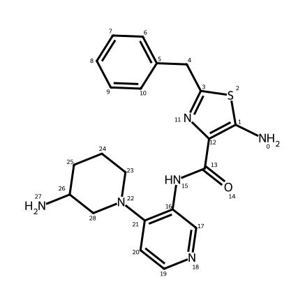 Nc1sc(Cc2ccccc2)nc1C(=O)Nc1cnccc1N1CCCC(N)C1